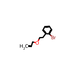 C=CCOCCc1ccccc1Br